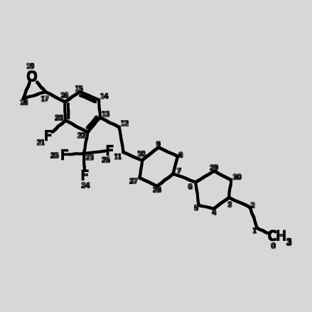 CCCC1CCC(C2CCC(CCc3ccc(C4CO4)c(F)c3C(F)(F)F)CC2)CC1